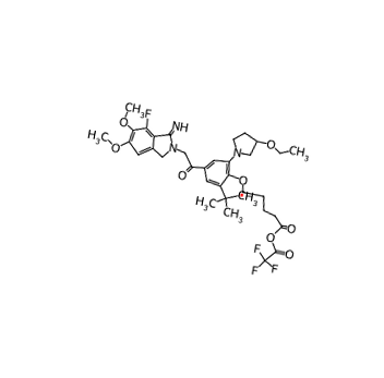 CCOC1CCN(c2cc(C(=O)CN3Cc4cc(OC)c(OC)c(F)c4C3=N)cc(C(C)(C)C)c2OCCCCC(=O)OC(=O)C(F)(F)F)C1